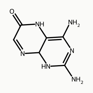 NC1=NC(N)=C2NC(=O)C=NC2N1